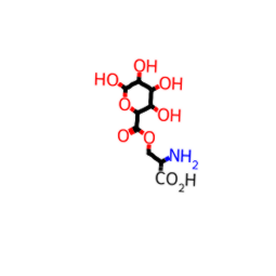 NC(COC(=O)C1OC(O)C(O)C(O)C1O)C(=O)O